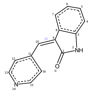 O=C1Nc2ccccc2/C1=C/c1ccncc1